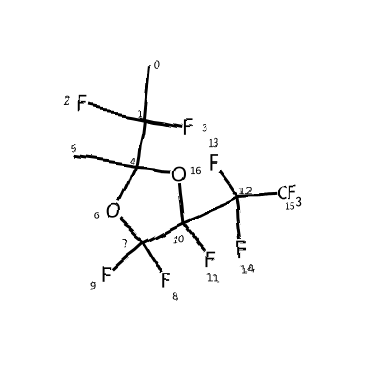 CC(F)(F)C1(C)OC(F)(F)C(F)(C(F)(F)C(F)(F)F)O1